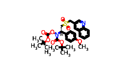 COc1ccc([C@@H](CS(=O)(=O)Cc2cnc3ccccc3c2)N(OC(=O)OC(C)(C)C)C(=O)OC(C)(C)C)cc1